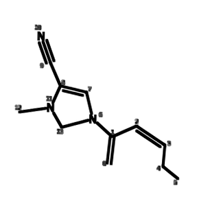 C=C(/C=C\CC)N1C=C(C#N)N(C)C1